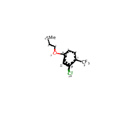 CSCCOc1ccc(C(F)(F)F)c(Cl)c1